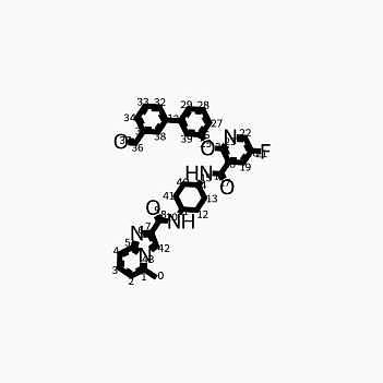 Cc1cccc2nc(C(=O)NC3CCC(NC(=O)c4cc(F)cnc4Oc4cccc(-c5cccc(C=O)c5)c4)CC3)cn12